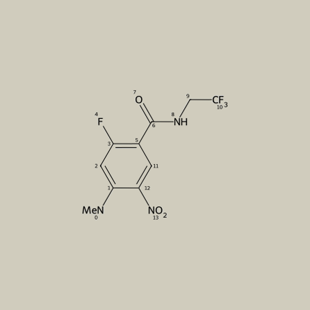 CNc1cc(F)c(C(=O)NCC(F)(F)F)cc1[N+](=O)[O-]